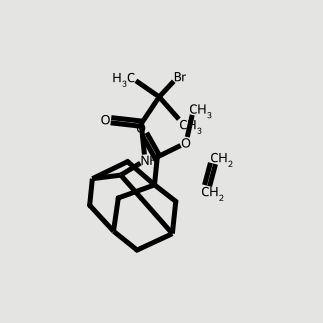 C=C.COC(=O)C12CC3CC(C1)C(NC(=O)C(C)(C)Br)C(C3)C2